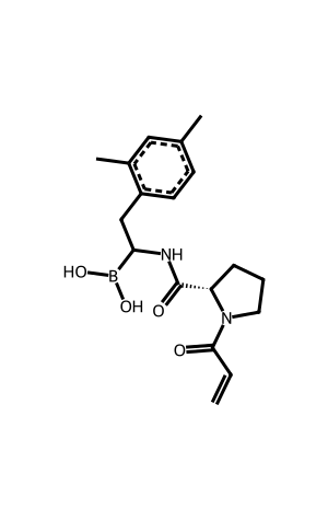 C=CC(=O)N1CCC[C@H]1C(=O)NC(Cc1ccc(C)cc1C)B(O)O